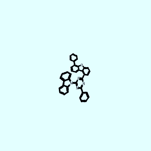 c1ccc(-c2nc(-c3cccc4oc5c(-c6ccccc6)cccc5c34)nc(-n3c4ccccc4c4ccccc43)n2)cc1